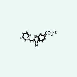 CCOC(=O)c1ccc2[nH]c(CN3CCCCC3)nc2c1